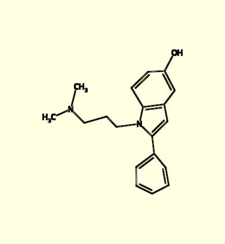 CN(C)CCCn1c(-c2ccccc2)cc2cc(O)ccc21